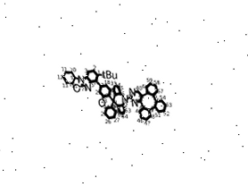 CC(C)(C)c1ccc2c(nc3n2C2C=CC=CC2O3)c1-c1ccc2c(c1)Oc1ccccc1C21c2ccccc2N(c2ncc3c(n2)-c2ccccc2-c2ccccc2-c2ccccc2-3)c2ccccc21